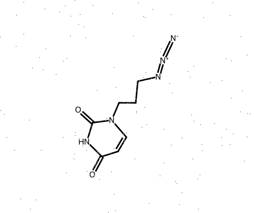 [N-]=[N+]=NCCCn1ccc(=O)[nH]c1=O